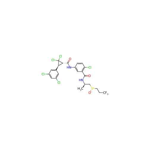 C[C@H](C[S+]([O-])CCC(F)(F)F)NC(=O)c1cc(NC(=O)[C@@H]2[C@@H](c3cc(Cl)cc(Cl)c3)C2(Cl)Cl)ccc1Cl